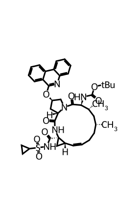 C[C@@H]1CC/C=C\[C@@H]2C[C@@]2(C(=O)NS(=O)(=O)C2CC2)NC(=O)[C@@H]2C[C@@H](Oc3nc4ccccc4c4ccccc34)CN2C(=O)[C@@H](NC(=O)OC(C)(C)C)[C@H](C)C1